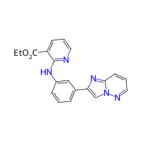 CCOC(=O)c1cccnc1Nc1cccc(-c2cn3ncccc3n2)c1